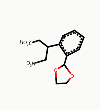 O=C(O)CC(C[N+](=O)[O-])c1ccccc1C1OCCO1